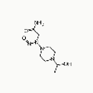 CC(O)N1CCN(N(CC(N)=O)N=O)CC1